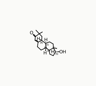 CC1(C)C[C@H]2C(=CC1=O)CC[C@@H]1[C@@H]2CC[C@]2(C)[C@@H](O)CC[C@@H]12